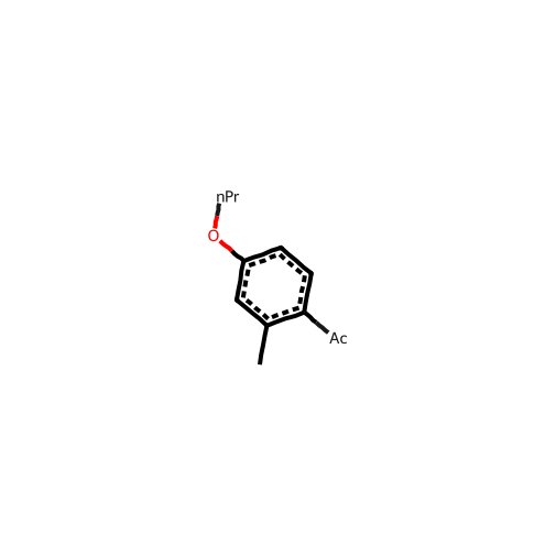 CCCOc1ccc(C(C)=O)c(C)c1